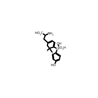 NC(CC1=CC=C(Oc2ccc(O)cc2)C(I)(I)C1)C(=O)O.O=S(=O)(O)O